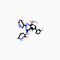 COc1cc(-c2cccc(F)c2)cc2c(NC3CCCNC3=O)nc(-c3cccnc3)nc12